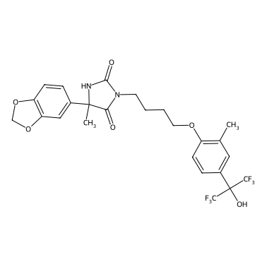 Cc1cc(C(O)(C(F)(F)F)C(F)(F)F)ccc1OCCCCN1C(=O)NC(C)(c2ccc3c(c2)OCO3)C1=O